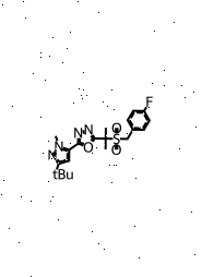 Cn1nc(C(C)(C)C)cc1-c1nnc(C(C)(C)S(=O)(=O)Cc2ccc(F)cc2)o1